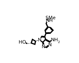 CSNCc1cccc(-c2cn([C@H]3C[C@@H](CO)C3)c3ncnc(N)c23)c1